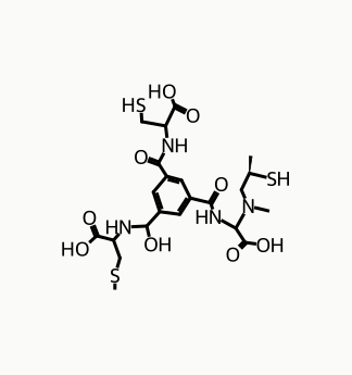 CSCC(NC(O)c1cc(C(=O)NC(CS)C(=O)O)cc(C(=O)NC(C(=O)O)N(C)C[C@@H](C)S)c1)C(=O)O